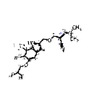 CC1c2[nH]c(COC/C(C#N)=C/N(C)C)cc2C=C(OCC(F)F)C1Br